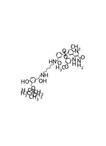 COc1cccc(Nc2c(C(N)=O)cnc3c(C)cc(S(=O)(=O)c4cccc(C(=O)NCCCCCCNC[C@H](O)c5ccc(O)c(CO[Si](C)(C)C(C)(C)C)c5)c4)cc23)c1